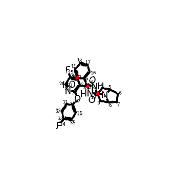 O=C(NC1CC2CCC(C1)N2C(=O)NCc1ccccc1O)c1cc(F)cnc1Oc1ccc(F)cc1